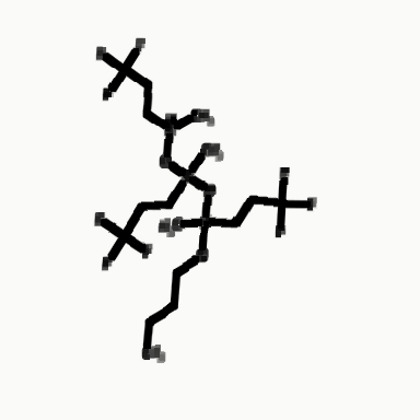 CCCCO[Si](C)(CCC(F)(F)F)O[Si](C)(CCC(F)(F)F)O[SiH](C)CCC(F)(F)F